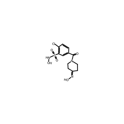 O=C(c1ccc(Cl)c(S(=O)(=O)NO)c1)N1CCC(=NO)CC1